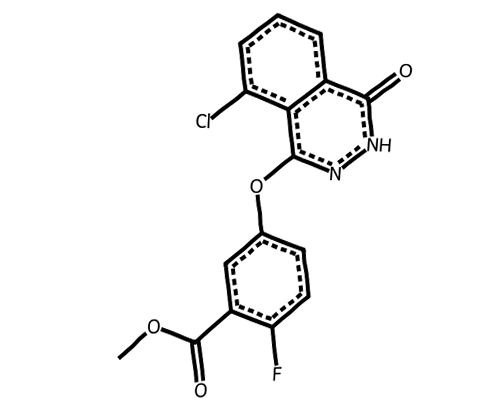 COC(=O)c1cc(Oc2n[nH]c(=O)c3cccc(Cl)c23)ccc1F